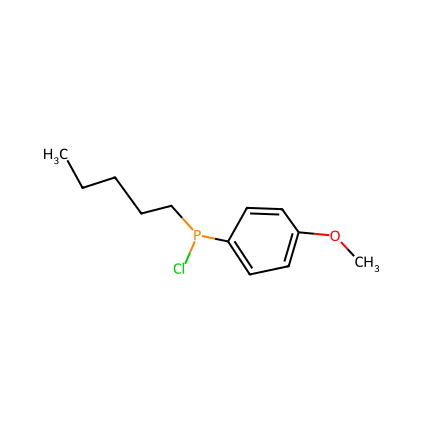 CCCCCP(Cl)c1ccc(OC)cc1